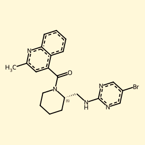 Cc1cc(C(=O)N2CCCC[C@H]2CNc2ncc(Br)cn2)c2ccccc2n1